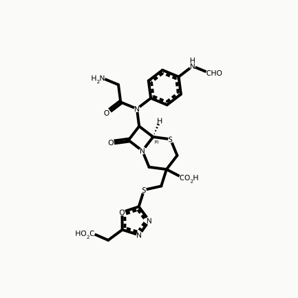 NCC(=O)N(c1ccc(NC=O)cc1)C1C(=O)N2CC(CSc3nnc(CC(=O)O)o3)(C(=O)O)CS[C@H]12